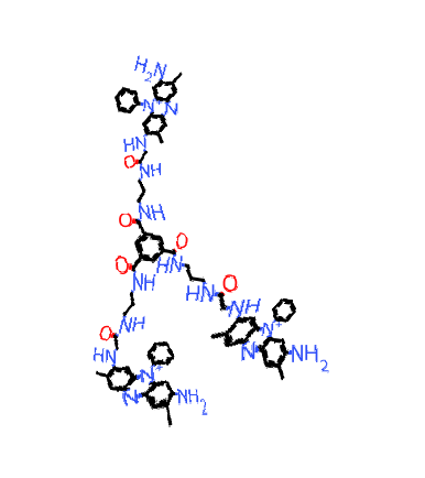 Cc1cc2nc3cc(C)c(NCC(=O)NCCCNC(=O)c4cc(C(=O)NCCCNC(=O)CNc5cc6c(cc5C)nc5cc(C)c(N)cc5[n+]6-c5ccccc5)cc(C(=O)NCCCNC(=O)CNc5cc6c(cc5C)nc5cc(C)c(N)cc5[n+]6-c5ccccc5)c4)cc3[n+](-c3ccccc3)c2cc1N